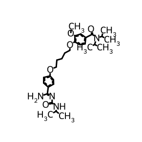 COc1cc(C(=O)N(C(C)C)C(C)C)ccc1OCCCCCOc1ccc(C(N)=NC(=O)NC(C)C)cc1